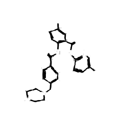 Cc1ccc(NC(=O)c2cc(Cl)ccc2NC(=O)c2ccc(CN3CCSCC3)cc2)nc1